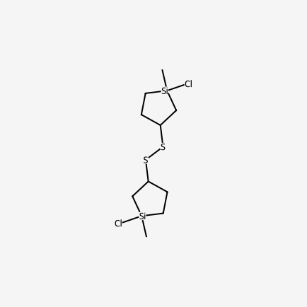 C[Si]1(Cl)CCC(SSC2CC[Si](C)(Cl)C2)C1